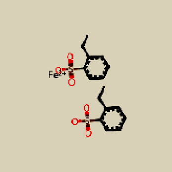 CCc1ccccc1S(=O)(=O)[O-].CCc1ccccc1S(=O)(=O)[O-].[Fe+2]